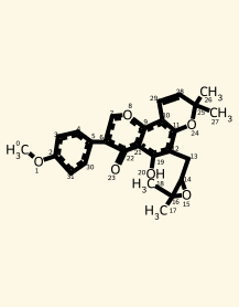 COc1ccc(-c2coc3c4c(c(CC5OC5(C)C)c(O)c3c2=O)OC(C)(C)C=C4)cc1